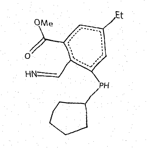 CCc1cc(PC2CCCC2)c(C=N)c(C(=O)OC)c1